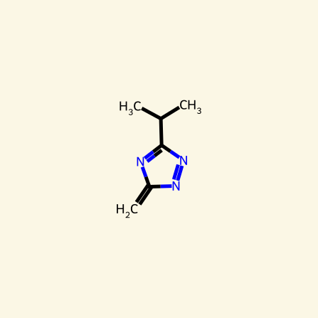 C=C1N=NC(C(C)C)=N1